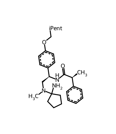 CCCC(C)COc1ccc([C@H](CN(C)C2(N)CCCC2)NC(=O)[C@@H](C)c2ccccc2)cc1